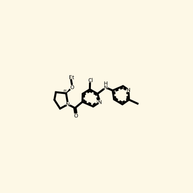 CCO[C@@H]1CCCN1C(=O)c1cnc(Nc2ccc(C)nc2)c(Cl)c1